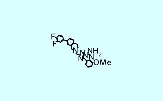 COc1cccc2c1nc(N)n1nc(CN3CCc4ccc(-c5ccc(F)c(F)c5)cc4C3)nc21